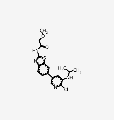 COCC(=O)Nc1nc2ccc(-c3cnc(Cl)c(NC(C)C)c3)cc2s1